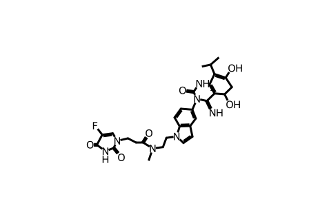 CC(C)C1=C(O)CC(O)C(C(=N)N(C(N)=O)c2ccc3c(ccn3CCN(C)C(=O)CCn3cc(F)c(=O)[nH]c3=O)c2)=C1